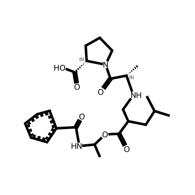 CC(C)CC(CN[C@@H](C)C(=O)N1CCC[C@H]1C(=O)O)C(=O)OC(C)NC(=O)c1ccccc1